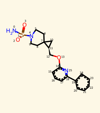 NS(=O)(=O)N1CCC2(CC1)C[C@H]2COc1cccc(-c2ccccc2)n1